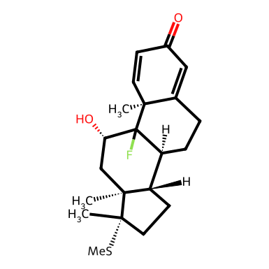 CS[C@@]1(C)CC[C@H]2[C@@H]3CCC4=CC(=O)C=C[C@]4(C)C3(F)[C@@H](O)C[C@@]21C